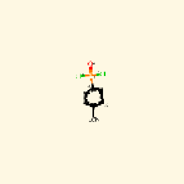 N#Cc1ccc(P(=O)(Cl)Cl)cc1